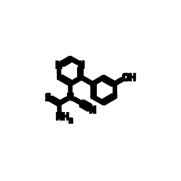 N#CN(C(N)=S)c1cncnc1-c1cccc(O)c1